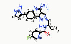 CC(Cn1cc2c(N)nc3cc(-c4ccn[nH]4)ccc3c2n1)NC(=O)c1ccc(F)cn1